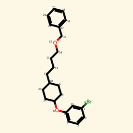 Brc1cccc(OC2CCC(CCCCOCc3ccccc3)CC2)c1